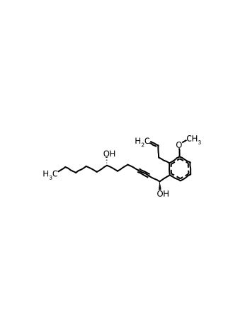 C=CCc1c(OC)cccc1[C@@H](O)C#CCC[C@@H](O)CCCCC